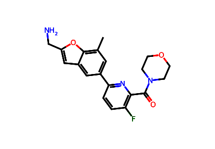 Cc1cc(-c2ccc(F)c(C(=O)N3CCOCC3)n2)cc2cc(CN)oc12